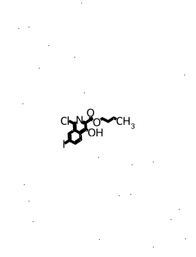 CCCCOC(=O)c1nc(Cl)c2cc(I)ccc2c1O